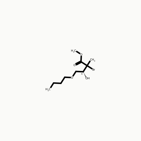 CCCCOC[C@@H](O)C(C)(Br)C(=O)OC